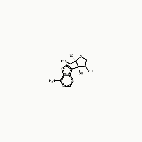 N#C[C@]1(CO)OC[C@@H](O)[C@@]1(O)c1csc2c(N)ncnc12